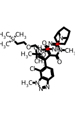 Cn1c(N2C3CCC2CC(NC(=O)OC(C)(C)C)C3)nc2c(c(-c3ccc4nnn(C)c4c3Cl)cn2COCC[Si](C)(C)C)c1=O